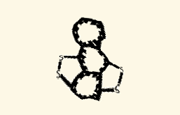 c1ccc2c3c4c(ccc5c4c(c2c1)SS5)SS3